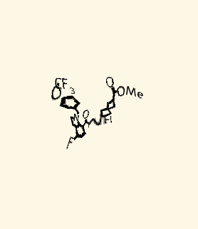 COC(=O)C1CC2(CC(NC(=O)c3ccc(F)c4ccn(Cc5ccc(OC(F)(F)F)cc5)c34)C2)C1